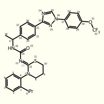 CC(C)c1ccccc1N1CCCS/C1=N\C(=O)NC(C)c1ccc(-c2ncn(-c3ccc(OC(F)(F)F)cc3)n2)cc1